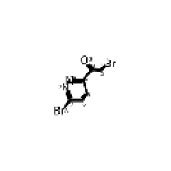 O=C(CBr)c1ccc(Br)nn1